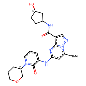 CNc1cc(Nc2cccn([C@@H]3CCCOC3)c2=O)nc2c(C(=O)NC3CC[C@@H](O)C3)cnn12